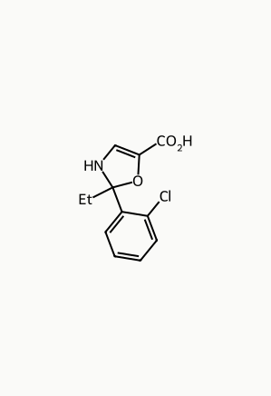 CCC1(c2ccccc2Cl)NC=C(C(=O)O)O1